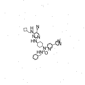 Cn1cc(-c2ccc(N(C(=O)NCc3ccccc3)[C@H]3CC[C@H](Nc4ncc(C#N)c(NCC5CCC5)n4)CC3)nc2)cn1